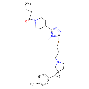 COCCC(=O)N1CCC(c2nnc(SCCCN3CCC4(CC4c4ccc(C(F)(F)F)cc4)C3)n2C)CC1